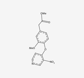 COC(=O)Cc1ccc(Oc2ccncc2[N+](=O)[O-])c(OC)c1